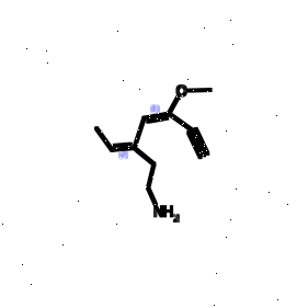 C#C/C(=C\C(=C/C)CCN)OC